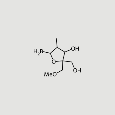 BC1OC(CO)(COC)C(O)C1C